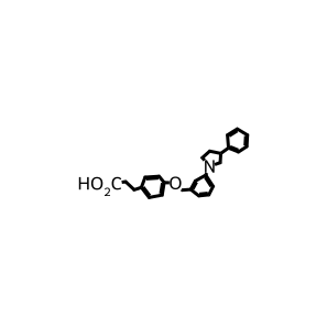 O=C(O)CCc1ccc(OCc2cccc(N3CCC(c4ccccc4)C3)c2)cc1